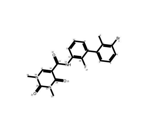 Cc1c(Br)cccc1-c1cccc(NC(=O)c2cn(C)c(=O)n(C)c2=O)c1F